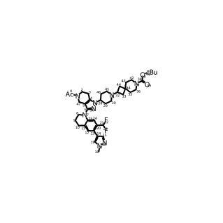 CC(=O)N1CCc2c(c(N3CCCc4cc(-c5cnn(C)c5)c(C(F)F)cc43)nn2C2CCN(C3CC4(CCN(C(=O)OC(C)(C)C)CC4)C3)CC2)C1